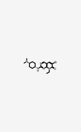 CCn1c(=O)c(Br)cc2cnc(N[C@H]3CC[C@H](N(C)C)CC3)nc21